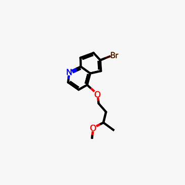 COC(C)CCOc1ccnc2ccc(Br)cc12